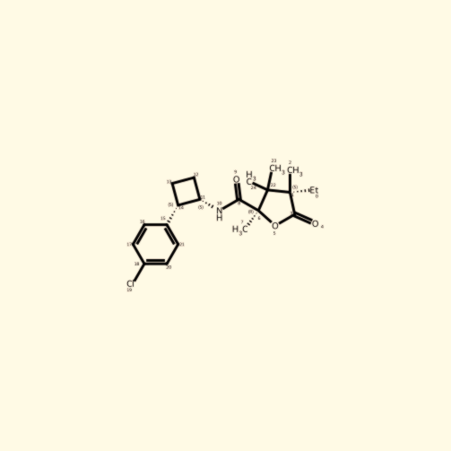 CC[C@]1(C)C(=O)O[C@@](C)(C(=O)N[C@H]2CC[C@H]2c2ccc(Cl)cc2)C1(C)C